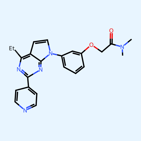 CCc1nc(-c2ccncc2)nc2c1ccn2-c1cccc(OCC(=O)N(C)C)c1